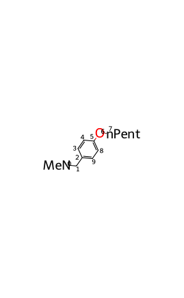 [CH2-][NH2+]Cc1ccc(OCCCCC)cc1